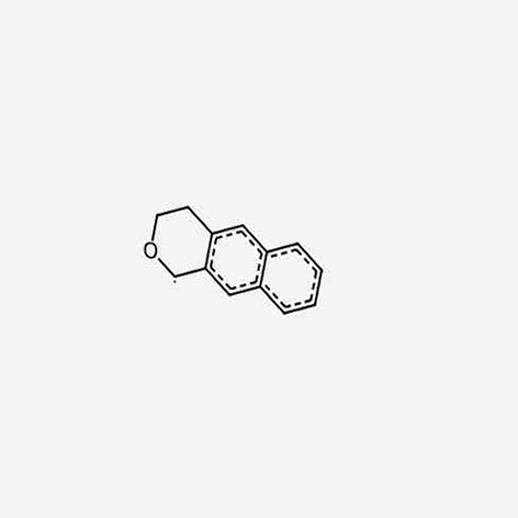 [CH]1OCCc2cc3ccccc3cc21